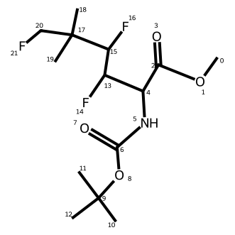 COC(=O)C(NC(=O)OC(C)(C)C)C(F)C(F)C(C)(C)CF